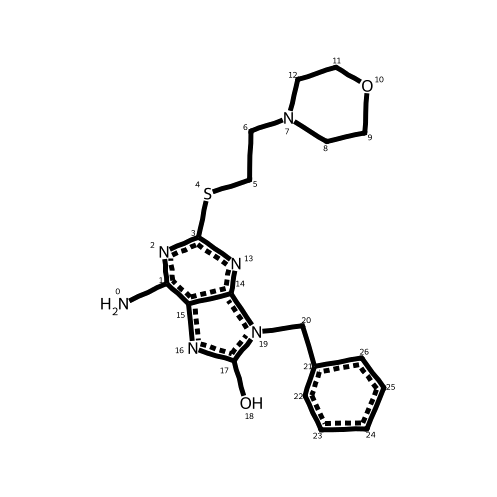 Nc1nc(SCCN2CCOCC2)nc2c1nc(O)n2Cc1ccccc1